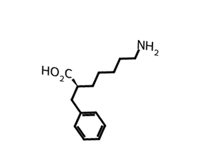 NCCCCC[C@@H](Cc1ccccc1)C(=O)O